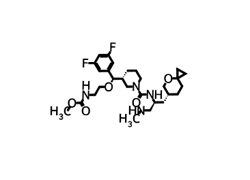 CNC[C@H](C[C@H]1CCC2(CC2)OC1)NC(=O)N1CCC[C@@H]([C@@H](OCCNC(=O)OC)c2cc(F)cc(F)c2)C1